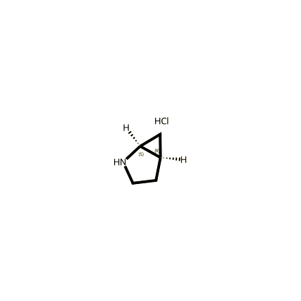 C1C[C@@H]2C[C@@H]2N1.Cl